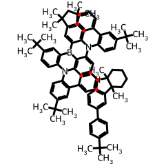 CC(C)(C)c1ccc(-c2ccc3c(c2)C2(C)CCCCC2(C)N3c2cc3c4c(c2)N(c2ccc(C(C)(C)C)cc2-c2ccccc2)c2cc5c(cc2B4c2cc(C(C)(C)C)ccc2N3c2ccc(C(C)(C)C)cc2-c2ccccc2)C(C)(C)CC5(C)C)cc1